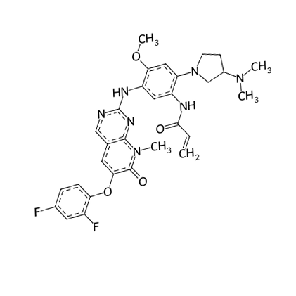 C=CC(=O)Nc1cc(Nc2ncc3cc(Oc4ccc(F)cc4F)c(=O)n(C)c3n2)c(OC)cc1N1CCC(N(C)C)C1